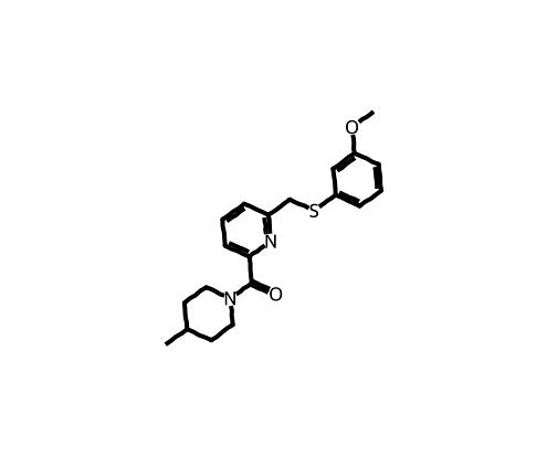 COc1cccc(SCc2cccc(C(=O)N3CCC(C)CC3)n2)c1